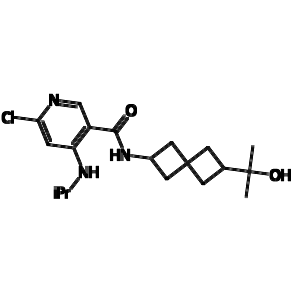 CC(C)Nc1cc(Cl)ncc1C(=O)NC1CC2(C1)CC(C(C)(C)O)C2